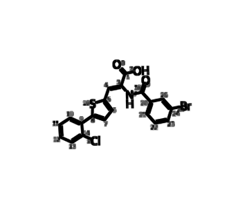 O=C(O)C(=Cc1ccc(-c2ccccc2Cl)s1)NC(=O)c1cccc(Br)c1